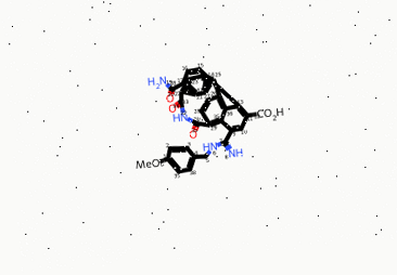 COc1ccc(CNC(=N)c2cc(C(=O)O)c3c4ccc(C(N)=O)c5c6ccc(c7ccc(c(=O)[nH]c6=O)c2c73)c45)cc1